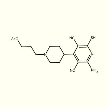 CC(=O)OCCCN1CCC(c2c(C#N)c(N)nc(S)c2C#N)CC1